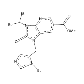 CCC(CC)n1c(=O)n(Cc2cncn2CC)c2cc(C(=O)OC)cnc21